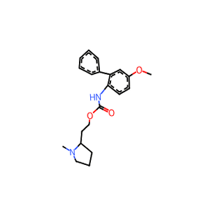 COc1ccc(NC(=O)OCCC2CCCN2C)c(-c2ccccc2)c1